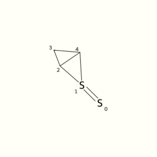 S=S1C2CC21